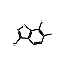 Fc1ccc2c(Cl)noc2c1Cl